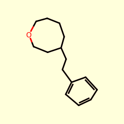 c1ccc(CCC2CCCCOCC2)cc1